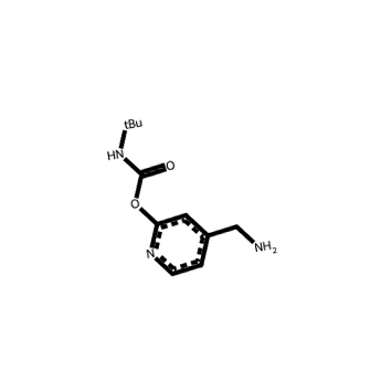 CC(C)(C)NC(=O)Oc1cc(CN)ccn1